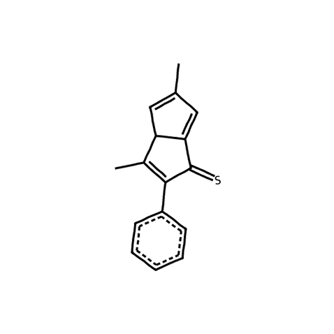 CC1=CC2C(=C1)C(=S)C(c1ccccc1)=C2C